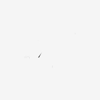 CNC[C@H]1OCCc2c(Br)ccc(F)c21